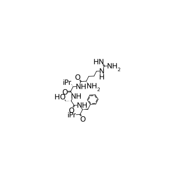 CC(C)C(=O)[C@H](Cc1ccccc1)NC(=O)[C@H](CO)NC(=O)[C@@H](NC(=O)[C@@H](N)CCCNC(=N)N)C(C)C